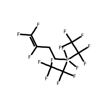 FC(F)=C(F)CCP(F)(F)(C(F)(F)C(F)(F)F)C(F)(F)C(F)(F)F